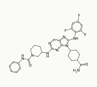 NC(=O)C1CCC(n2c(Nc3c(F)cc(F)cc3F)nc3cnc(NC4CCCN(C(=O)Nc5ccccc5)C4)nc32)CC1